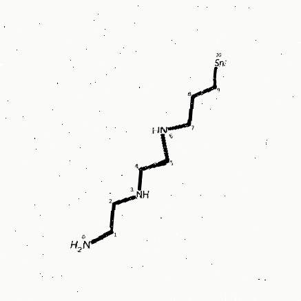 NCCNCCNCC[CH2][Sn]